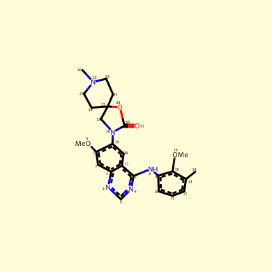 COc1cc2ncnc(Nc3cccc(C)c3OC)c2cc1N1CC2(CCN(C)CC2)OC1=O